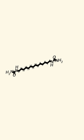 NC(=O)NCCCCCCCCCCCCCCNC(N)=O